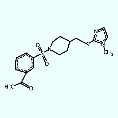 CC(=O)c1cccc(S(=O)(=O)N2CCC(CSc3nccn3C)CC2)c1